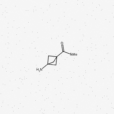 CNC(=O)C12CC(N)(C1)C2